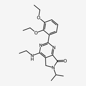 CCNc1nc(-c2cccc(OCC)c2OCC)nc2c1CN(C(C)C)C2=O